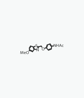 COc1ccc2sc(COc3ccc(NC(C)=O)cc3)nc2c1